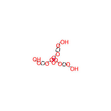 O=P(OCCOc1ccc(OCCO)cc1)(OCCOc1ccc(OCCO)cc1)OCCOc1ccc(OCCO)cc1